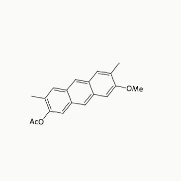 COc1cc2cc3cc(OC(C)=O)c(C)cc3cc2cc1C